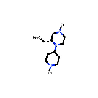 CCN1CCN(C2CCN(C(C)C)CC2)[C@H](COC)C1